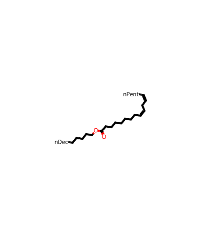 CCCCC/C=C\C/C=C\CCCCCCCC(=O)OCCCCCCCCCCCCCCC